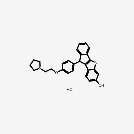 Cl.Oc1ccc2c3c(sc2c1)-c1ccccc1C3c1ccc(OCCN2CCCC2)cc1